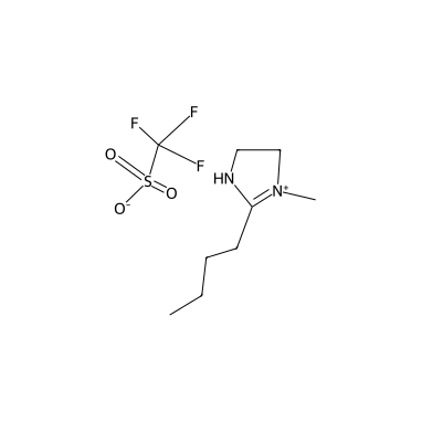 CCCCC1=[N+](C)CCN1.O=S(=O)([O-])C(F)(F)F